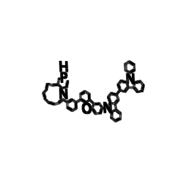 C1=CC2=N/C(c3cccc(-c4cccc5c4oc4ccc(-n6c7ccccc7c7cc(-c8ccc9c(c8)c8ccccc8n9-c8ccccc8)ccc76)cc45)c3)=C\C=C/C=C\C=C\C=C\2CP1